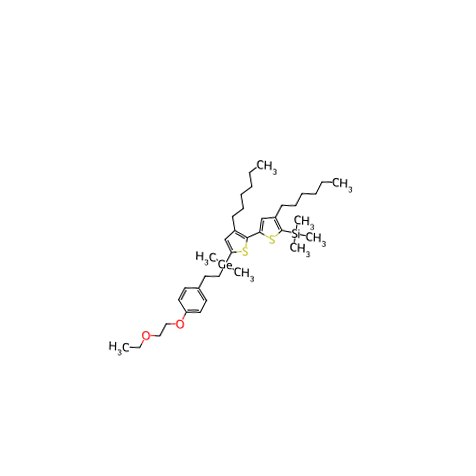 CCCCCCc1c[c]([Ge]([CH3])([CH3])[CH2]Cc2ccc(OCCOCC)cc2)sc1-c1cc(CCCCCC)c([Si](C)(C)C)s1